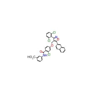 O=C(O)c1cccc(NC(=O)c2ccc(OCc3c(-c4c(Cl)cccc4Cl)noc3-c3ccc4ccccc4c3)cc2Cl)c1